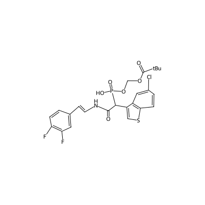 CC(C)(C)C(=O)OCOP(=O)(O)C(C(=O)N/C=C/c1ccc(F)c(F)c1)c1csc2ccc(Cl)cc12